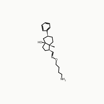 C[C@]12CC[C@H](c3ccccc3)C[C@@]1(O)CC[C@@H]2C=NOCCCCN